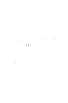 Cc1ccc(Oc2ccc(N(C[C@@H](NCc3ccccc3)C(=O)NO)S(C)(=O)=O)cc2)cc1